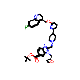 CC(C)(C)OC(=O)c1ccc2nc(CN3CCC(c4cccc(OCc5ccnc6cc(F)ccc56)n4)CC3)n(C[C@@H]3CCO3)c2c1